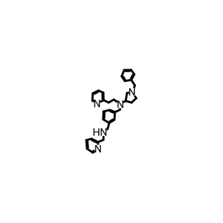 c1ccc(CN2CCC(N(CCc3ccccn3)Cc3cccc(CNCc4ccccn4)c3)C2)cc1